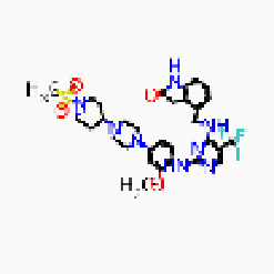 COc1cc(N2CCN(C3CCN(S(C)(=O)=O)CC3)CC2)ccc1Nc1ncc(C(F)(F)F)c(NCc2cccc3c2CC(=O)N3)n1